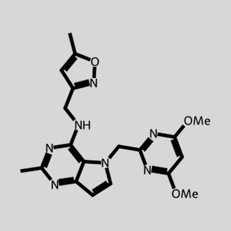 COc1cc(OC)nc(Cn2ccc3nc(C)nc(NCc4cc(C)on4)c32)n1